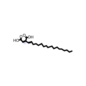 CCCCCCCCCCCCCCCCC=C/C(=C/C(=O)O)C(=O)O